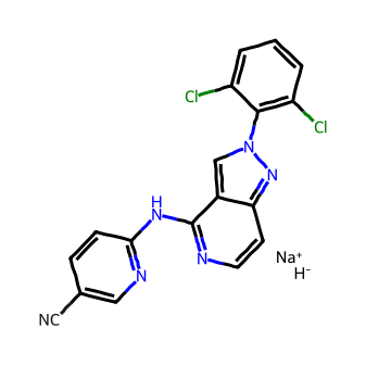 N#Cc1ccc(Nc2nccc3nn(-c4c(Cl)cccc4Cl)cc23)nc1.[H-].[Na+]